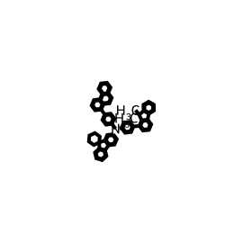 CC1(C)c2ccccc2-c2cccc(-c3ccc(N(c4ccc(-c5cccc6c5ccc5ccccc56)cc4)c4ccc5c(c4)C4(CCCCC4)c4ccccc4-5)cc3)c21